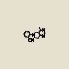 Cc1ncnc2c1CN(c1ccccc1C#N)CC2